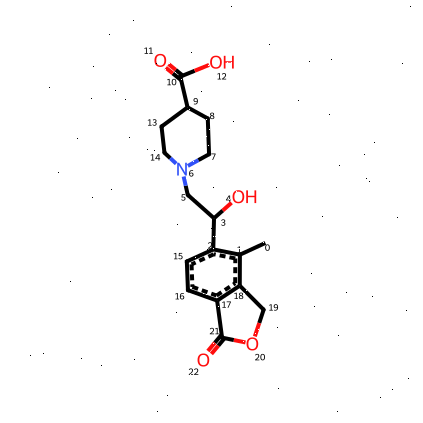 Cc1c(C(O)CN2CCC(C(=O)O)CC2)ccc2c1COC2=O